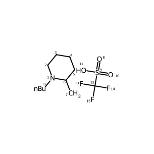 CCCCN1CCCCC1C.O=S(=O)(O)C(F)(F)F